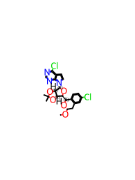 COC1Cc2cc(Cl)ccc2[C@H](C2O[C@@H](n3ccc4c(Cl)ncnc43)[C@@H]3OC(C)(C)O[C@H]23)O1